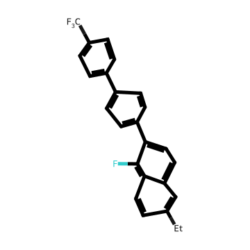 CCc1ccc2c(F)c(-c3ccc(-c4ccc(C(F)(F)F)cc4)cc3)ccc2c1